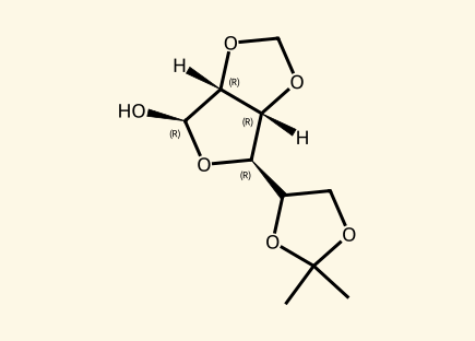 CC1(C)OCC([C@H]2O[C@@H](O)[C@@H]3OCO[C@@H]32)O1